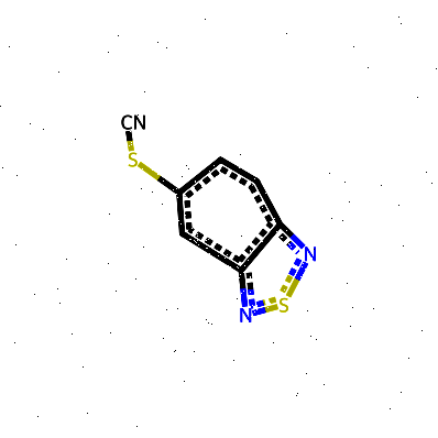 N#CSc1ccc2nsnc2c1